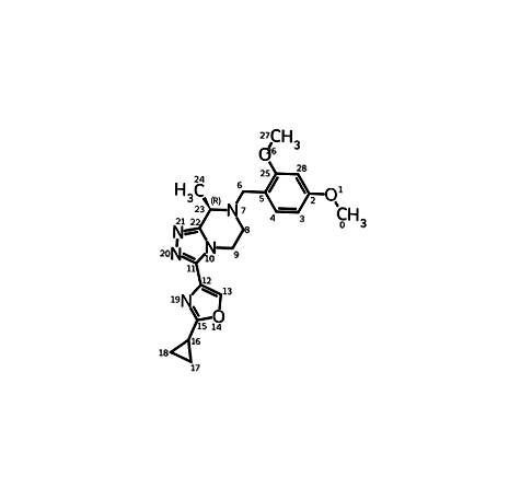 COc1ccc(CN2CCn3c(-c4coc(C5CC5)n4)nnc3[C@H]2C)c(OC)c1